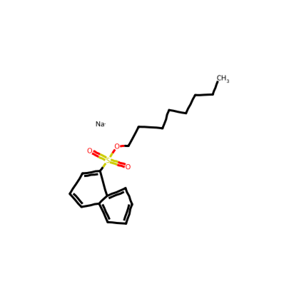 CCCCCCCCOS(=O)(=O)c1cccc2ccccc12.[Na]